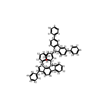 c1ccc(-c2ccc3c(c2)c2cc(-c4ccccc4)ccc2n3-c2cccc(-n3c4ccccc4c4ccc5c(-c6ccccc6)cn(-c6ccccc6)c5c43)c2)cc1